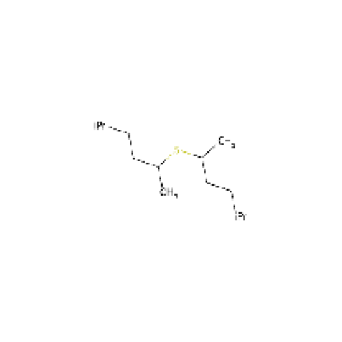 CC(C)CCC(C)SC(C)CCC(C)C